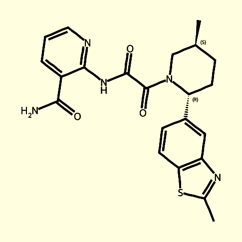 Cc1nc2cc([C@H]3CC[C@H](C)CN3C(=O)C(=O)Nc3ncccc3C(N)=O)ccc2s1